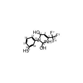 OC1C=C(C(F)(F)F)NC(O)N1c1cccc(S)c1